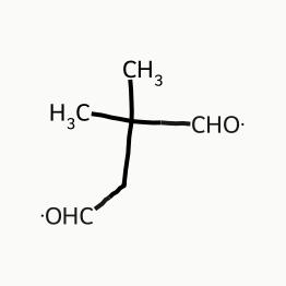 CC(C)([C]=O)C[C]=O